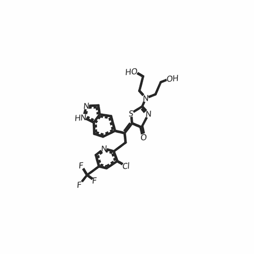 O=C1N=C(N(CCO)CCO)SC1=C(Cc1ncc(C(F)(F)F)cc1Cl)c1ccc2[nH]ncc2c1